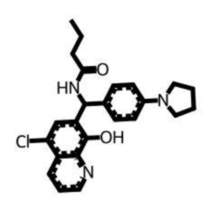 CCCC(=O)NC(c1ccc(N2CCCC2)cc1)c1cc(Cl)c2cccnc2c1O